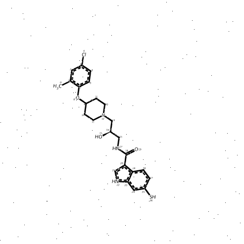 Cc1cc(Cl)ccc1OC1CCN(C[C@H](O)CNC(=O)c2c[nH]c3cc(S)ccc23)CC1